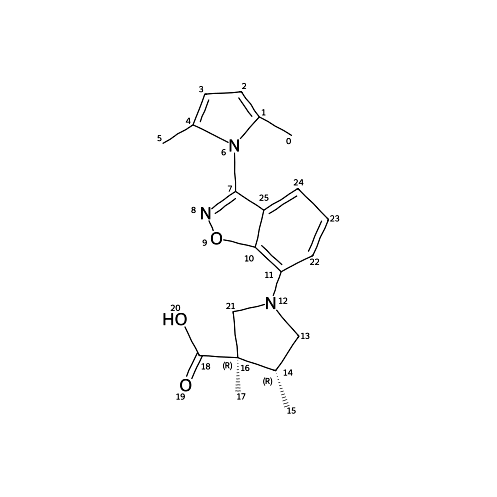 Cc1ccc(C)n1-c1noc2c(N3C[C@H](C)[C@@](C)(C(=O)O)C3)cccc12